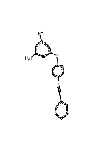 Nc1cc(N)cc(Oc2ccc(C#Cc3ccccc3)cc2)c1